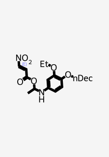 CCCCCCCCCCOc1ccc(NC(C)OC(=O)/C=C/[N+](=O)[O-])cc1OCC